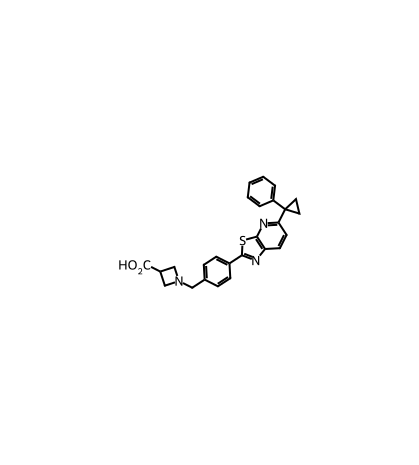 O=C(O)C1CN(Cc2ccc(-c3nc4ccc(C5(c6ccccc6)CC5)nc4s3)cc2)C1